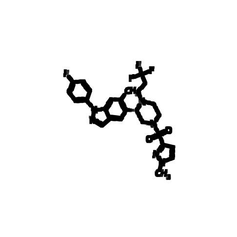 Cc1cc2c(cnn2-c2ccc(F)cc2)cc1[C@H]1CN(S(=O)(=O)c2ccn(C)n2)CCN1CCC(F)(F)F